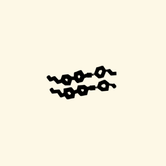 CCCCc1ccc(-c2ccc(C#C[C@H]3CC[C@H](CC)CC3)cc2)cc1.CCCCc1ccc(-c2ccc(C#C[C@H]3CC[C@H](CCC)CC3)cc2)cc1